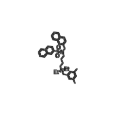 CC[N+](CC)(CCCCN(Cc1ccc2ccccc2c1)S(=O)(=O)c1ccc2ccccc2c1)Cc1cc(C)cc(C)c1